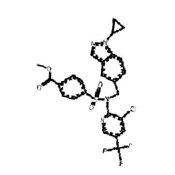 COC(=O)c1ccc(S(=O)(=O)N(Cc2ccc3c(cnn3C3CC3)c2)c2ncc(C(F)(F)F)cc2Cl)cc1